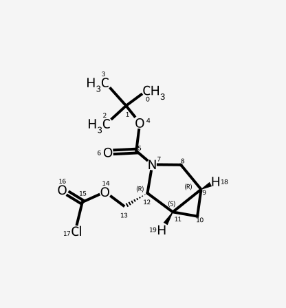 CC(C)(C)OC(=O)N1C[C@@H]2C[C@@H]2[C@@H]1COC(=O)Cl